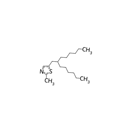 CCCCCCC(CCCCCC)Cc1cnc(C)s1